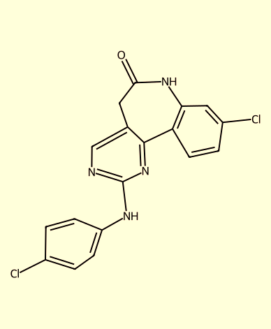 O=C1Cc2cnc(Nc3ccc(Cl)cc3)nc2-c2ccc(Cl)cc2N1